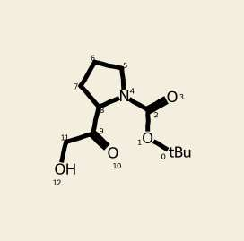 CC(C)(C)OC(=O)N1CCCC1C(=O)CO